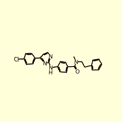 CN(CCc1ccccc1)C(=O)c1ccc(Nc2nccc(-c3ccc(Cl)cc3)n2)cc1